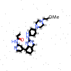 C=CC(=O)Nc1cc(-c2cccc3cnc(Nc4ccc(N5CCN(CCOC)CC5)cc4)nc23)ccn1